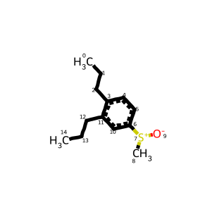 CCCc1ccc([S+](C)[O-])cc1CCC